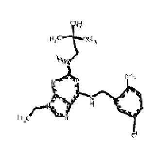 CCn1cnc2c(NCc3cc(Cl)ccc3N)nc(NCC(C)(C)O)nc21